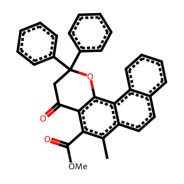 COC(=O)c1c2c(c3c(ccc4ccccc43)c1C)OC(c1ccccc1)(c1ccccc1)CC2=O